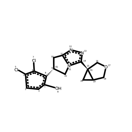 Oc1ccc(Cl)c(Cl)c1[C@@H]1Cc2nnc([C@@]34COCC3C4)n2C1